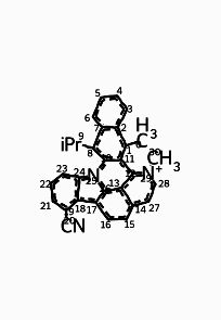 Cc1c2ccccc2c(C(C)C)c2c1c1c3c(ccc4c5c(C#N)cccc5n2c43)cc[n+]1C